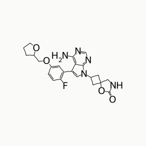 Nc1ncnc2c1c(-c1cc(OCC3CCCO3)ccc1F)cn2C1CC2(CNC(=O)O2)C1